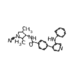 CC1CN(C#N)C(C)[C@@H]1NC(=O)c1ccc(-c2ccncc2Nc2ccccc2)cc1